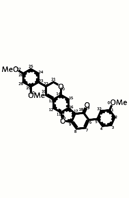 COc1cccc(C2=CC=c3oc4cc5c(cc4c3C2=O)OCC(c2ccc(OC)cc2OC)C=5)c1